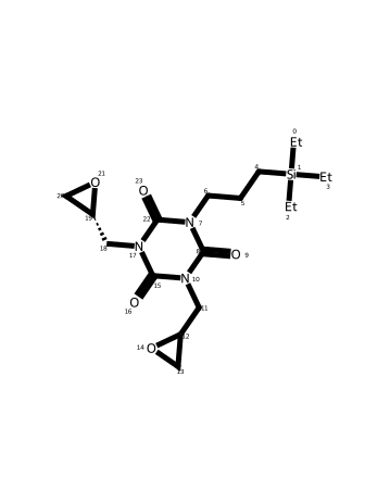 CC[Si](CC)(CC)CCCn1c(=O)n(CC2CO2)c(=O)n(C[C@@H]2CO2)c1=O